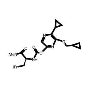 CNC(=O)[C@H](CC(C)C)NC(=O)Oc1cnc(C2CC2)c(OCC2CC2)n1